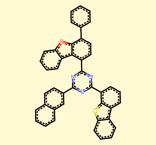 c1ccc(-c2ccc(-c3nc(-c4ccc5ccccc5c4)nc(-c4cccc5c4sc4ccccc45)n3)c3c2oc2ccccc23)cc1